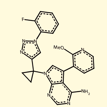 COc1ncccc1-c1cn(C2(c3cn(-c4ccccc4F)nn3)CC2)c2ncnc(N)c12